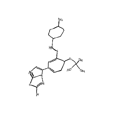 CC(C)c1nn2c(C3=CCC(OC(O)(O)O)C(SNC4CCC(N=O)CC4)=C3)cnc2s1